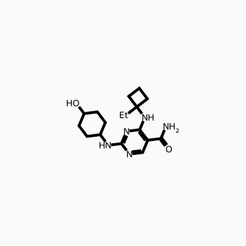 CCC1(Nc2nc(NC3CCC(O)CC3)ncc2C(N)=O)CCC1